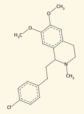 COc1cc2c(cc1OC)C(CCc1ccc(Cl)cc1)N(C)CC2